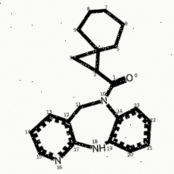 O=C(C1CC12CCCCC2)N1Cc2cccnc2Nc2ccccc21